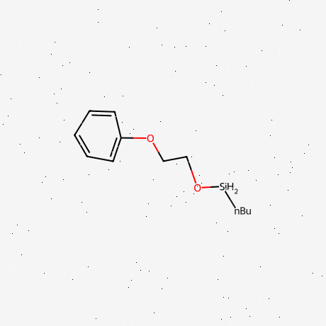 CCCC[SiH2]OCCOc1ccccc1